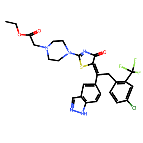 CCOC(=O)CN1CCN(C2=NC(=O)C(=C(Cc3ccc(Cl)cc3C(F)(F)F)c3ccc4[nH]ncc4c3)S2)CC1